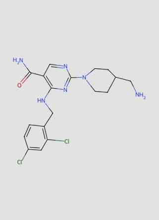 NCC1CCN(c2ncc(C(N)=O)c(NCc3ccc(Cl)cc3Cl)n2)CC1